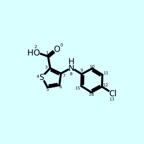 O=C(O)c1sccc1Nc1ccc(Cl)cc1